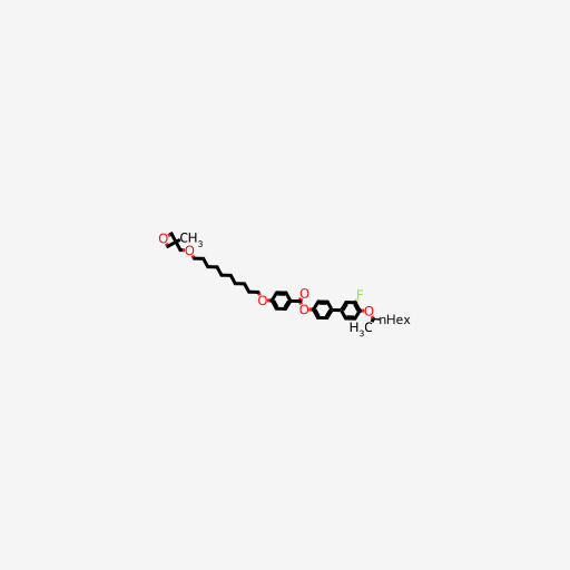 CCCCCC[C@@H](C)Oc1ccc(-c2ccc(OC(=O)c3ccc(OCCCCCCCCCCOCC4(C)COC4)cc3)cc2)cc1F